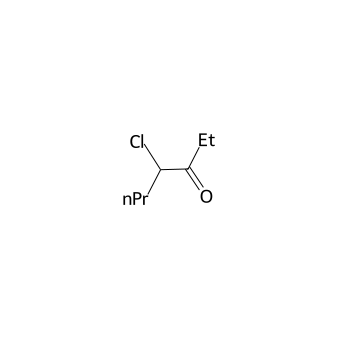 CCCC(Cl)C(=O)CC